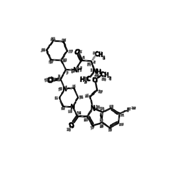 CN[C@@H](C)C(=O)NC(C(=O)N1CCN(C(=O)c2cc3ccc(F)cc3n2CCOC)CC1)C1CCCCC1